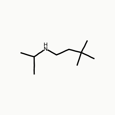 CC(C)NCCC(C)(C)C